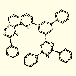 c1ccc(-c2cc(-c3ccc4ccc5ccc(-c6ccccc6)nc5c4n3)cc(-c3nc(-c4ccccc4)nc(-c4ccccc4)n3)c2)cc1